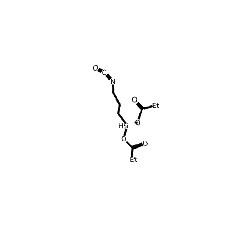 CCC(=O)O[SiH](CCCN=C=O)OC(=O)CC